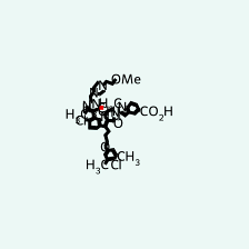 COCCN1CCN(Cc2nc(C)c(-c3c(Cl)ccc4c(CCCOc5cc(C)c(Cl)c(C)c5)c5n(c34)[C@H](C)CN(c3cc4cc(C(=O)O)ccc4n3C)C5=O)c(C)n2)CC1